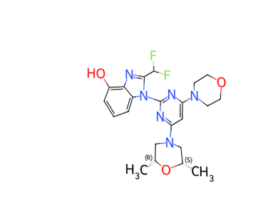 C[C@@H]1CN(c2cc(N3CCOCC3)nc(-n3c(C(F)F)nc4c(O)cccc43)n2)C[C@H](C)O1